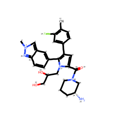 Cn1cc2cc(-c3c(-c4ccc(C#N)c(F)c4)cc(C(=O)N4CCC[C@@H](N)C4)n3CC(O)CO)ccc2n1